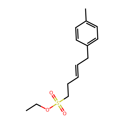 CCOS(=O)(=O)CCC=CCc1ccc(C)cc1